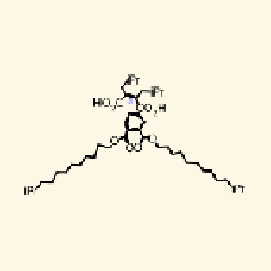 CC(C)C/C(C(=O)O)=C(\CC(C)C)C(=O)O.CC(C)CCCCCCCCCCOC(=O)c1ccccc1C(=O)OCCCCCCCCCCC(C)C